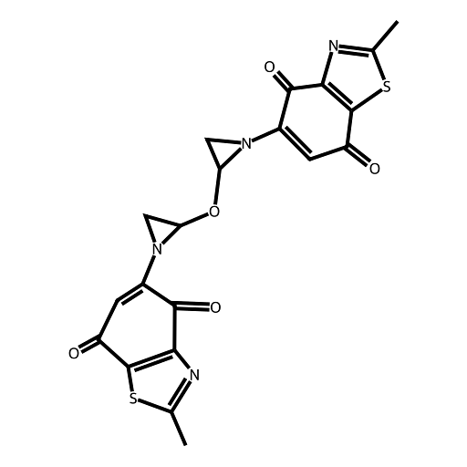 Cc1nc2c(s1)C(=O)C=C(N1CC1OC1CN1C1=CC(=O)c3sc(C)nc3C1=O)C2=O